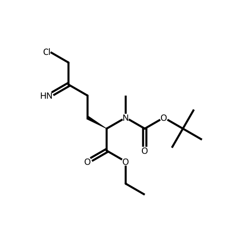 CCOC(=O)[C@@H](CCC(=N)CCl)N(C)C(=O)OC(C)(C)C